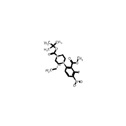 CC[C@@H]1CN(C(=O)OC(C)(C)C)CCN1c1ccc([N+](=O)[O-])c(F)c1C(=O)OC